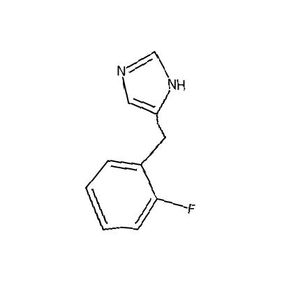 Fc1ccccc1Cc1cnc[nH]1